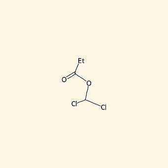 CCC(=O)OC(Cl)Cl